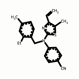 C=Cc1nc(N(Cc2ccc(C)cc2CC)c2ccc(C#N)cc2)sc1C